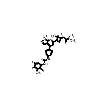 Cc1c(F)c(F)cc(NC(=O)Nc2ccc(-c3cc(C4CC(CC(=O)N(C)C)C4(C)C)nc4c3cnn4C)cc2)c1F